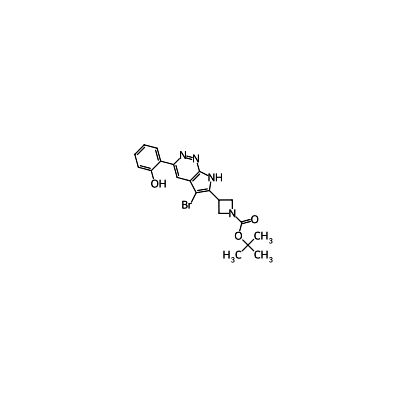 CC(C)(C)OC(=O)N1CC(c2[nH]c3nnc(-c4ccccc4O)cc3c2Br)C1